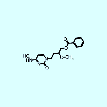 COC(CCn1ccc(NO)nc1=O)COC(=O)c1ccccc1